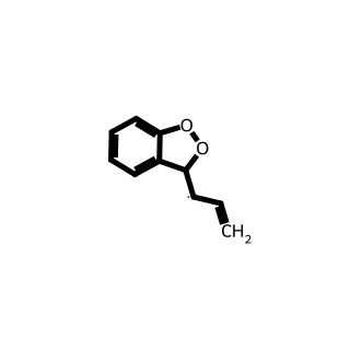 C=C[CH]C1OOc2ccccc21